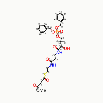 COC(=O)CCC(=O)SCCNC(=O)CCNC(=O)[C@H](O)C(C)(C)COP(=O)(OCc1ccccc1)OCc1ccccc1